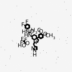 COc1ccc(C23CCC(NC(=O)Nc4ccc(F)c(F)c4)CC2N(Cc2cc[nH]n2)CC3)cc1OC.O=C(O)C(F)(F)F